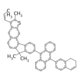 C/C=C\c1c(C)sc2cc3c4c(ccc3cc12)C(C)(C)c1cc(-c2c3ccccc3c(-c3ccc5c(c3)CCC=C5)c3ccccc23)ccc1-4